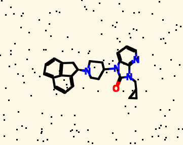 O=c1n(CC2CC2)c2ncccc2n1C1CCN([C@@H]2Cc3cccc4cccc2c34)CC1